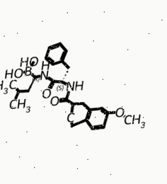 COc1ccc2c(c1)CC(C(=O)N[C@@H](Cc1ccccc1)C(=O)N[C@@H](CC(C)C)B(O)O)CC2